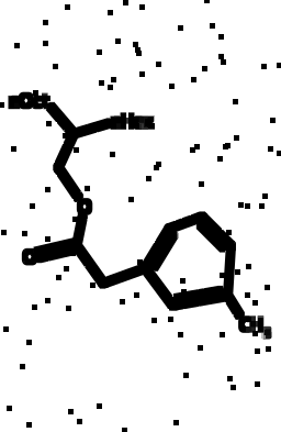 CCCCCCCCC(CCCCCC)COC(=O)Cc1cccc(C)c1